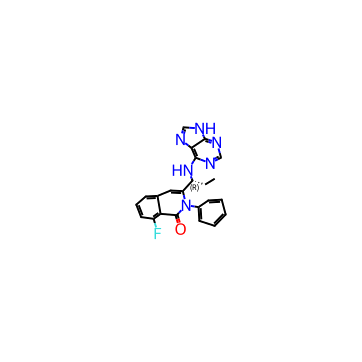 CC[C@@H](Nc1ncnc2[nH]cnc12)c1cc2cccc(F)c2c(=O)n1-c1ccccc1